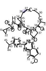 COc1ccc2c(O[C@@H]3C[C@H]4C(=O)N[C@]5(C(=O)NS(=O)(=O)C6CC6)CC5/C=C\CCCCC(C)C(=O)N4C3)nc(-c3nc(C(C)C)cs3)nc2c1C